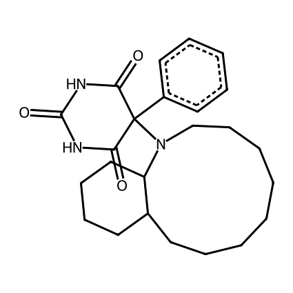 O=C1NC(=O)C(c2ccccc2)(N2CCCCCCCCC3CCCCC32)C(=O)N1